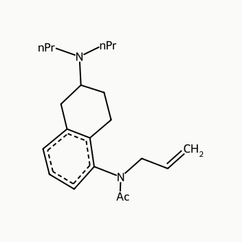 C=CCN(C(C)=O)c1cccc2c1CCC(N(CCC)CCC)C2